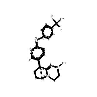 [O-][S+]1CCN2C(=N1)C1(c3ccc(Oc4ccc(C(F)(F)F)cc4)nc3)CCC2CC1